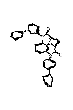 O=c1c2ccc3c(=O)n(-c4cccc(-c5ccccc5)c4)c4cccc(c4n23)n1-c1ccc(-c2ccccc2)cc1